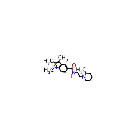 Cc1c(C)n(C)c2ccc(C(=O)N(I)CCN3CCCCC3C)cc12